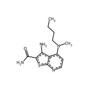 CCCCN(C)c1ccnc2sc(C(N)=O)c(N)c12